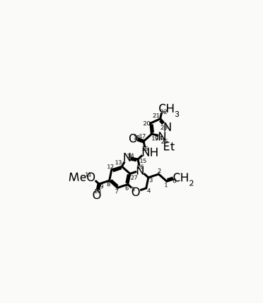 C=CCC1COc2cc(C(=O)OC)cc3nc(NC(=O)c4cc(C)nn4CC)n1c23